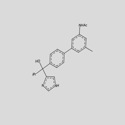 CC(=O)Nc1cc(C)cc(-c2ccc(C(O)(c3c[nH]cn3)C(C)C)cc2)c1